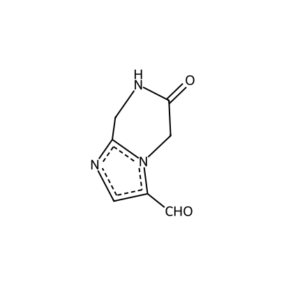 O=Cc1cnc2n1CC(=O)NC2